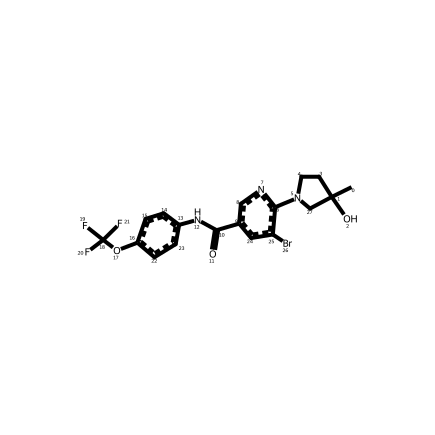 CC1(O)CCN(c2ncc(C(=O)Nc3ccc(OC(F)(F)F)cc3)cc2Br)C1